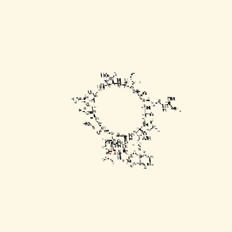 CC[C@H](C)C1NC(=O)[C@@H](CCCNC(=N)N)NC(=O)[C@H](CC(C)C)NC(=O)[C@H]([C@H](O)C(C)C)NC(=O)[C@@H](NC(=O)[C@H](CC(C)C)NC(=O)[C@H](N)Cc2ccccc2F)[C@@H](c2ccccc2)OC(=O)[C@H](CO)NC(=O)[C@H]([C@H](O)C(N)=O)NC(=O)CNC(=O)C([C@H](C)O)NC1=O